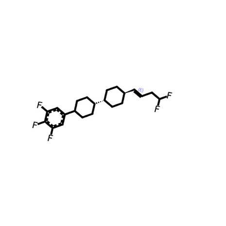 Fc1cc(C2CCC([C@H]3CC[C@H](/C=C/CC(F)F)CC3)CC2)cc(F)c1F